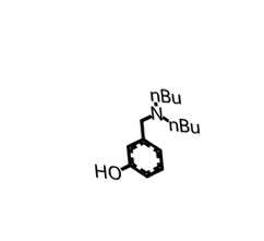 CCCCN(CCCC)Cc1cccc(O)c1